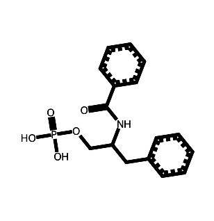 O=C(NC(COP(=O)(O)O)Cc1ccccc1)c1ccccc1